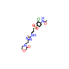 CC(=O)Nc1ccc(S(=O)(=O)CC=CNc2nc(CCN3CCOCC3=O)ns2)cc1Cl